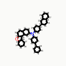 c1ccc(-c2ccc(N(c3ccc(-c4ccc5ccccc5c4)cc3)c3ccc4ccc5oc6ccccc6c5c4c3)cc2)cc1